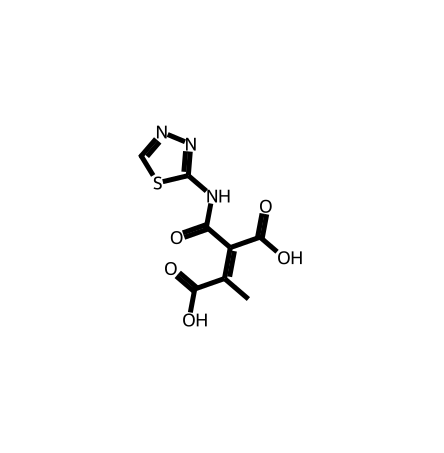 C/C(C(=O)O)=C(\C(=O)O)C(=O)Nc1nncs1